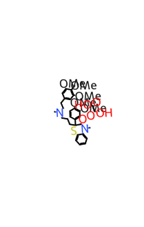 COc1ccc(C2(CCCN(C)CCc3cc(OC)c(OC)c(OC)c3)Sc3ccccc3N(C)C2=O)cc1OC.O=C(O)C(=O)O